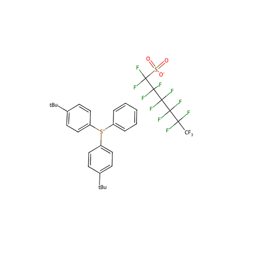 CC(C)(C)c1ccc([S+](c2ccccc2)c2ccc(C(C)(C)C)cc2)cc1.O=S(=O)([O-])C(F)(F)C(F)(F)C(F)(F)C(F)(F)C(F)(F)C(F)(F)F